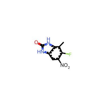 Cc1c(F)c([N+](=O)[O-])cc2[nH]c(=O)[nH]c12